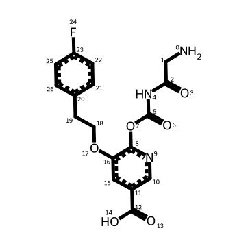 NCC(=O)NC(=O)Oc1ncc(C(=O)O)cc1OCCc1ccc(F)cc1